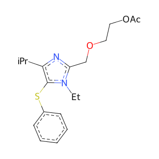 CCn1c(COCCOC(C)=O)nc(C(C)C)c1Sc1ccccc1